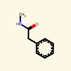 CNC(=O)Cc1cc[c]cc1